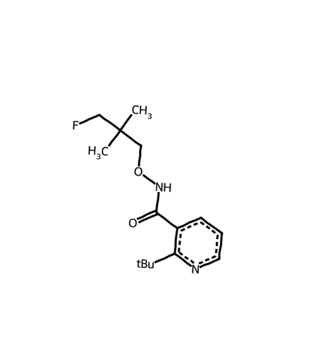 CC(C)(CF)CONC(=O)c1cccnc1C(C)(C)C